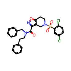 O=C(c1noc2c1CN(S(=O)(=O)c1cc(Cl)ccc1Cl)CC2)N(CCc1ccccc1)Cc1ccccc1